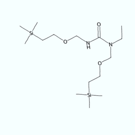 CCN(COCC[Si](C)(C)C)C(=O)NCOCC[Si](C)(C)C